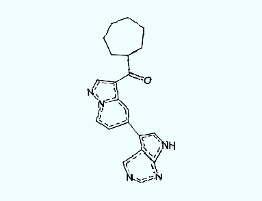 O=C(c1cnn2ccc(-c3c[nH]c4ncncc34)cc12)C1CCCCCC1